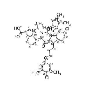 CCn1cc(C(=O)O)c2cccc(N3CC(C)n4c(c(CCCOc5cc(C)c(Cl)c(C)c5)c5ccc(Cl)c(-c6c(C)nn(C)c6C)c54)C3=O)c21